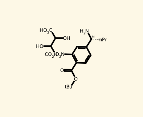 CCC[C@@H](N)c1ccc(C(=O)OC(C)(C)C)c([N+](=O)[O-])c1.O=C(O)C(O)C(O)C(=O)O